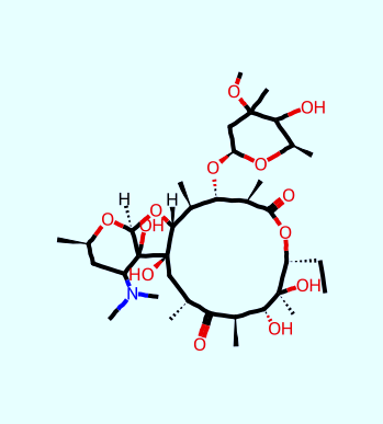 CC[C@H]1OC(=O)[C@H](C)[C@@H](O[C@H]2CC(C)(OC)C(O)[C@@H](C)O2)[C@H](C)[C@H]2O[C@@H]3O[C@H](C)CC(N(C)C)C3(O)[C@@]2(O)C[C@@H](C)C(=O)[C@H](C)[C@@H](O)[C@]1(C)O